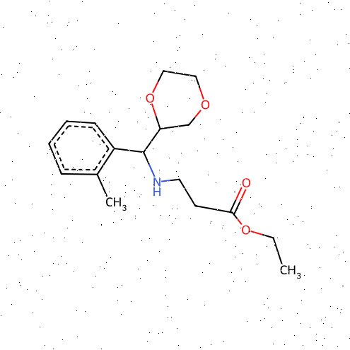 CCOC(=O)CCNC(c1ccccc1C)C1COCCO1